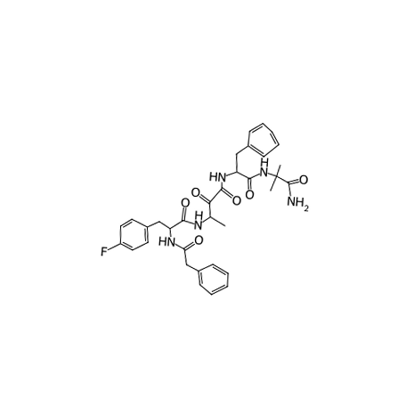 CC(NC(=O)C(Cc1ccc(F)cc1)NC(=O)Cc1ccccc1)C(=O)C(=O)NC(Cc1ccccc1)C(=O)NC(C)(C)C(N)=O